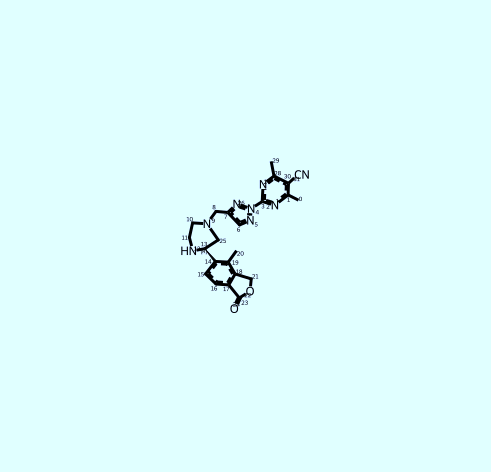 Cc1nc(-n2ncc(CN3CCN[C@H](c4ccc5c(c4C)COC5=O)C3)n2)nc(C)c1C#N